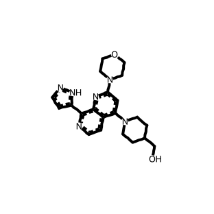 OCC1CCN(c2cc(N3CCOCC3)nc3c(-c4ccn[nH]4)nccc23)CC1